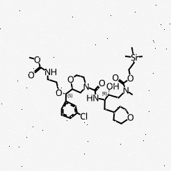 COC(=O)NCCO[C@@H](c1cccc(Cl)c1)C1CN(C(=O)NC(CC2CCOCC2)[C@H](O)CN(C)C(=O)OCC[Si](C)(C)C)CCO1